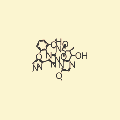 COc1cnc(C(O)C(C)S(=O)(=O)Nc2nnc(-c3ccn(C)n3)n2-c2c(OC)cccc2OC)cn1